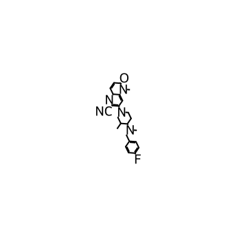 CC1CN(c2cc3c(ccc(=O)n3C)nc2C#N)CCC1N(C)Cc1ccc(F)cc1